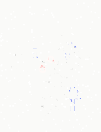 CCCc1cn2c(C(OC(=O)NC3CCCCC3)c3ccc(-c4ccccc4-c4nnn[nH]4)cc3)ccc(C)c2n1